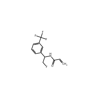 C=CC(=O)NC(CF)c1cccc(C(F)(F)F)c1